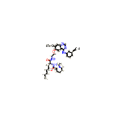 C#Cc1cccc(Nc2ncnc3cc(OC)c(OCCNC(=O)[C@H](CCCCCC(C)=O)NC(=O)C4CCCCN4C)cc23)c1